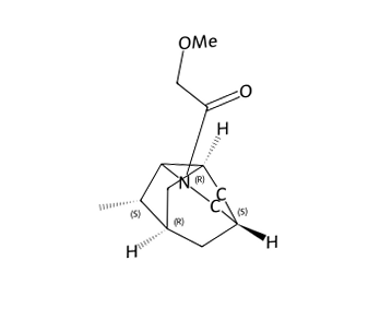 COCC(=O)N1C[C@@H]2C[C@H]3C[C@@H](C2)[C@H](C)C31